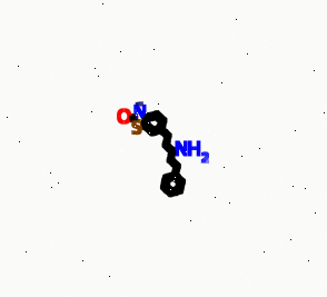 Cn1c(=O)sc2cc(CCC(N)CCc3ccccc3)ccc21